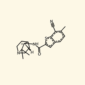 Cc1ccc2cc(C(=O)N[C@H]3C4CCN(CC4)C3(C)C)sc2c1C#N